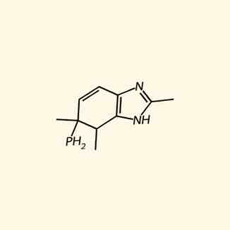 Cc1nc2c([nH]1)C(C)C(C)(P)C=C2